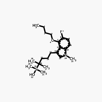 CCCCOc1c(F)ccc2c1c(CCCC(C)(C)[Si](C)(C)O)cn2C